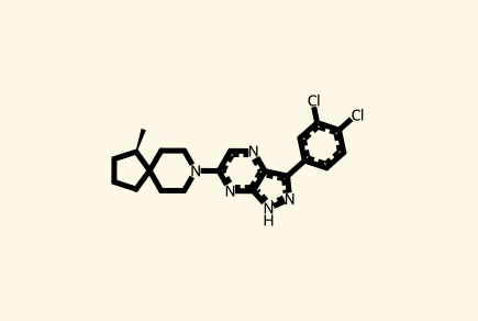 C[C@@H]1CCCC12CCN(c1cnc3c(-c4ccc(Cl)c(Cl)c4)n[nH]c3n1)CC2